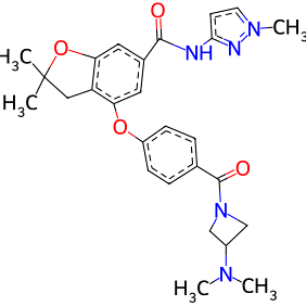 CN(C)C1CN(C(=O)c2ccc(Oc3cc(C(=O)Nc4ccn(C)n4)cc4c3CC(C)(C)O4)cc2)C1